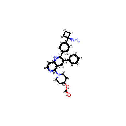 NC1(c2ccc(-c3nc4ccnc(N5CCC(OC=O)CC5)c4cc3-c3ccccc3)cc2)CCC1